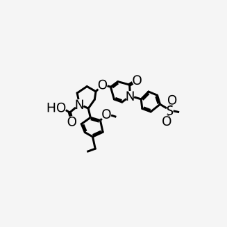 CCc1ccc(C2CC(Oc3ccn(-c4ccc(S(C)(=O)=O)cc4)c(=O)c3)CCN2C(=O)O)c(OC)c1